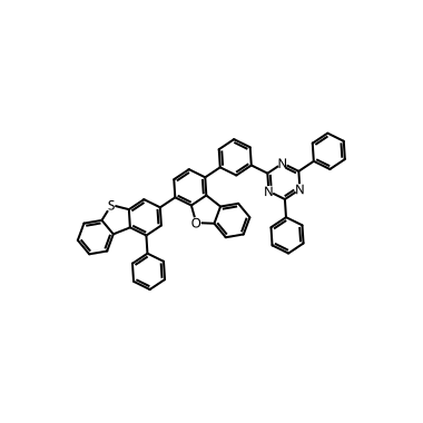 c1ccc(-c2nc(-c3ccccc3)nc(-c3cccc(-c4ccc(-c5cc(-c6ccccc6)c6c(c5)sc5ccccc56)c5oc6ccccc6c45)c3)n2)cc1